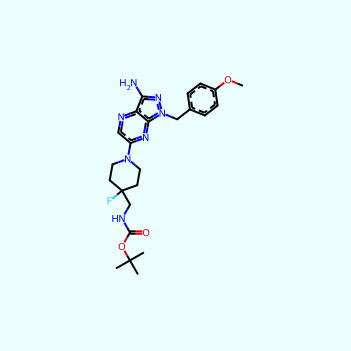 COc1ccc(Cn2nc(N)c3ncc(N4CCC(F)(CNC(=O)OC(C)(C)C)CC4)nc32)cc1